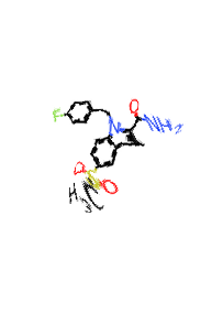 CS(=O)(=O)c1ccc2c(c1)cc(C(N)=O)n2Cc1ccc(F)cc1